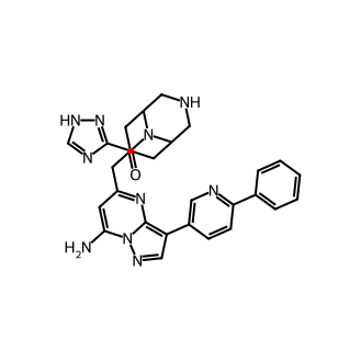 Nc1cc(CC2CC3CNCC(C2)N3C(=O)c2nc[nH]n2)nc2c(-c3ccc(-c4ccccc4)nc3)cnn12